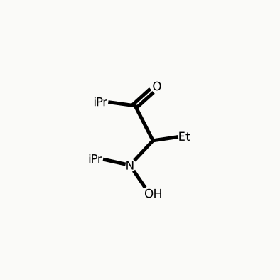 CCC(C(=O)C(C)C)N(O)C(C)C